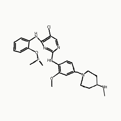 CNC1CCN(c2ccc(Nc3ncc(Cl)c(Nc4ccccc4OP(C)C)n3)c(OC)c2)CC1